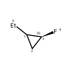 CCC1C[C@@H]1F